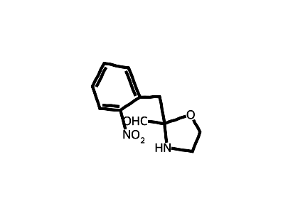 O=CC1(Cc2ccccc2[N+](=O)[O-])NCCO1